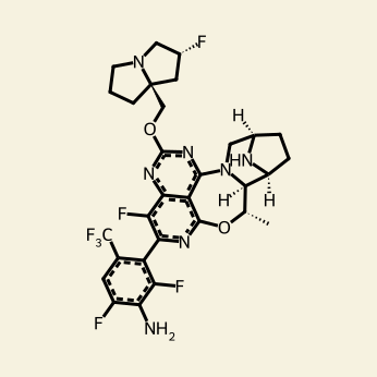 C[C@@H]1Oc2nc(-c3c(C(F)(F)F)cc(F)c(N)c3F)c(F)c3nc(OC[C@@]45CCCN4C[C@H](F)C5)nc(c23)N2C[C@H]3CC[C@H](N3)[C@@H]12